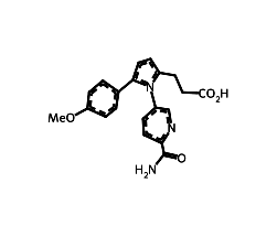 COc1ccc(-c2ccc(CCC(=O)O)n2-c2ccc(C(N)=O)nc2)cc1